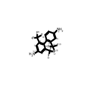 Nc1ccc(-c2c(C(F)(F)F)cc(N)cc2C(F)(F)F)c(C(F)(F)F)c1